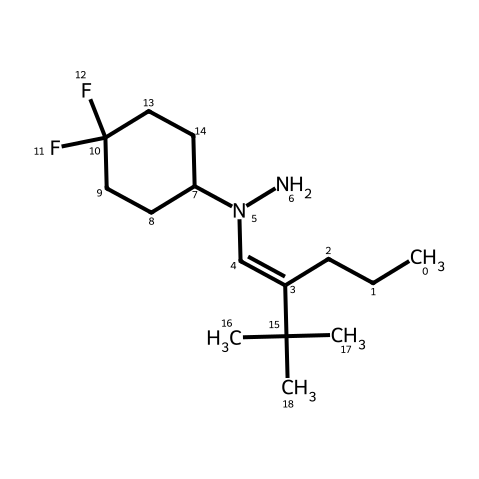 CCC/C(=C\N(N)C1CCC(F)(F)CC1)C(C)(C)C